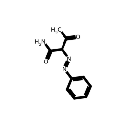 CC(=O)C(N=Nc1ccccc1)C(N)=O